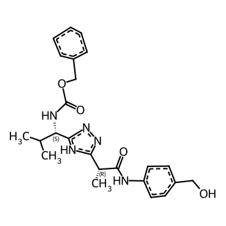 CC(C)[C@H](NC(=O)OCc1ccccc1)c1nnc([C@@H](C)C(=O)Nc2ccc(CO)cc2)[nH]1